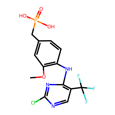 COc1cc(CP(=O)(O)O)ccc1Nc1nc(Cl)ncc1C(F)(F)F